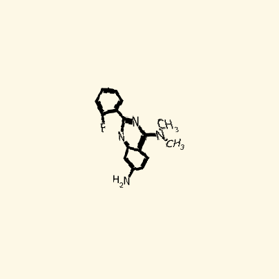 CN(C)c1nc(-c2ccccc2F)nc2cc(N)ccc12